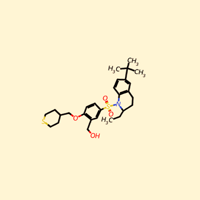 CCC1CCc2cc(C(C)(C)C)ccc2N1S(=O)(=O)c1ccc(OCC2CCSCC2)c(CO)c1